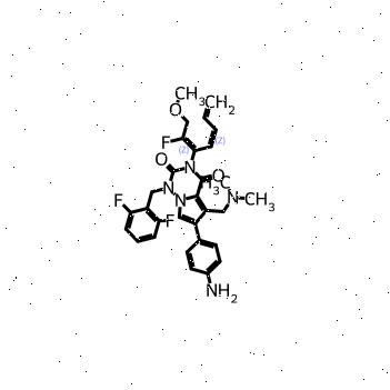 C=C/C=C\C(=C(\F)COC)n1c(=O)c2c(CN(C)C)c(-c3ccc(N)cc3)cn2n(Cc2c(F)cccc2F)c1=O